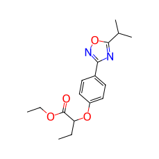 CCOC(=O)C(CC)Oc1ccc(-c2noc(C(C)C)n2)cc1